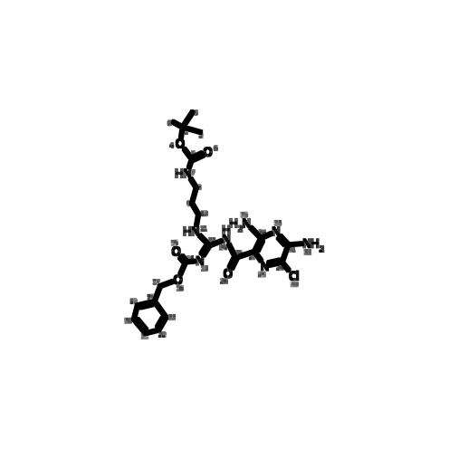 CC(C)(C)OC(=O)NCCCN/C(=N\C(=O)OCc1ccccc1)NC(=O)c1nc(Cl)c(N)nc1N